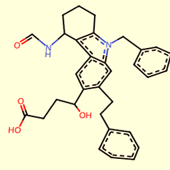 O=CNC1CCCc2c1c1cc(C(O)CCC(=O)O)c(CCc3ccccc3)cc1n2Cc1ccccc1